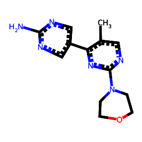 Cc1cnc(N2CCOCC2)nc1-c1cnc(N)nc1